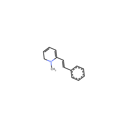 CN1CC=CC=C1C=Cc1ccccc1